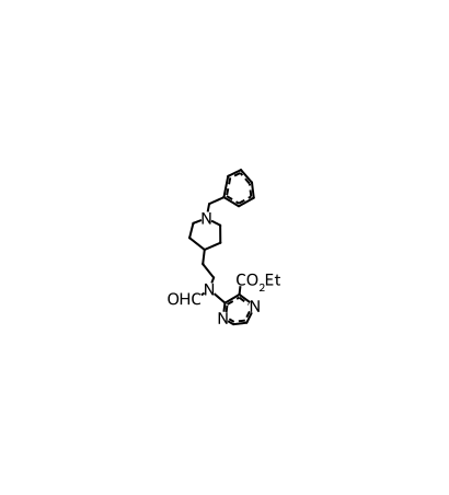 CCOC(=O)c1nccnc1N(C=O)CCC1CCN(Cc2ccccc2)CC1